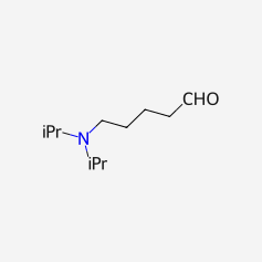 CC(C)N(CCCCC=O)C(C)C